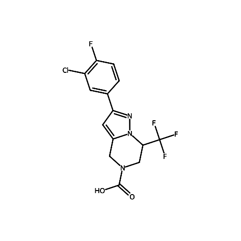 O=C(O)N1Cc2cc(-c3ccc(F)c(Cl)c3)nn2C(C(F)(F)F)C1